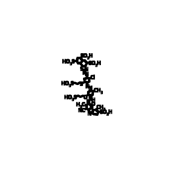 Cc1cc(N=Nc2c(C)c(C#N)c3nc4ccc(S(=O)(=O)O)c(C)c4n3c2O)c(OCCCS(=O)(=O)O)cc1N=Nc1cc(Cl)c(N=Nc2nc3c(S(=O)(=O)O)cc4c(S(=O)(=O)O)cc(S(=O)(=O)O)cc4c3s2)cc1SCCCS(=O)(=O)O